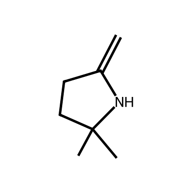 C=C1CCC(C)(C)N1